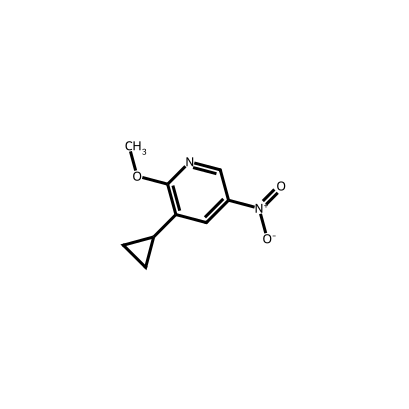 COc1ncc([N+](=O)[O-])cc1C1CC1